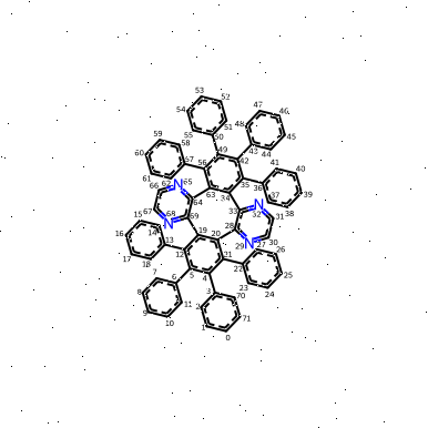 c1ccc(-c2c(-c3ccccc3)c(-c3ccccc3)c3c(c2-c2ccccc2)-c2nccnc2-c2c(-c4ccccc4)c(-c4ccccc4)c(-c4ccccc4)c(-c4ccccc4)c2-c2nccnc2-3)cc1